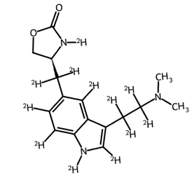 [2H]c1c(C([2H])([2H])[C@H]2COC(=O)N2[2H])c([2H])c2c(C([2H])([2H])C([2H])([2H])N(C)C)c([2H])n([2H])c2c1[2H]